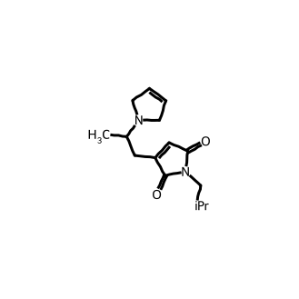 CC(C)CN1C(=O)C=C(CC(C)N2CC=CC2)C1=O